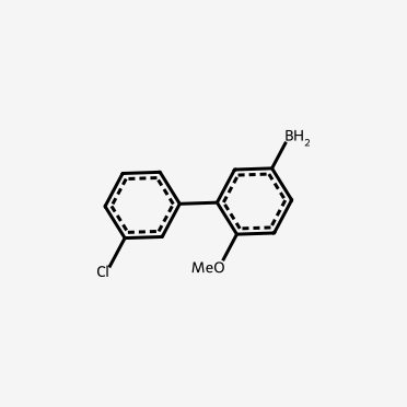 Bc1ccc(OC)c(-c2cccc(Cl)c2)c1